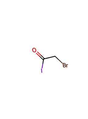 O=C(I)CBr